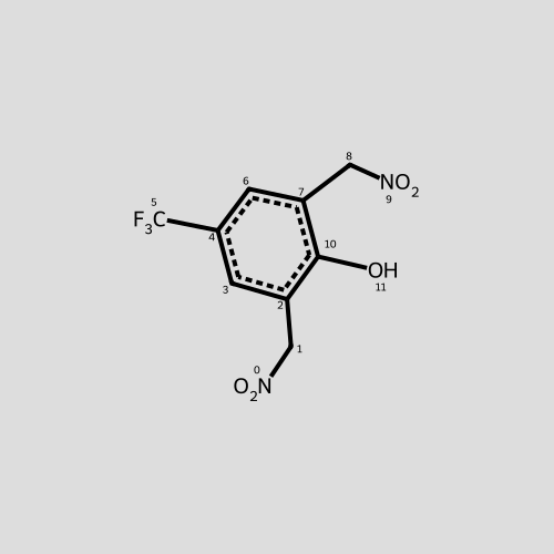 O=[N+]([O-])Cc1cc(C(F)(F)F)cc(C[N+](=O)[O-])c1O